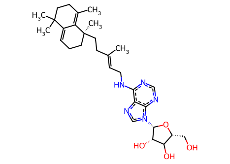 CC1=C2C(=CCC[C@]2(C)CC/C(C)=C/CNc2ncnc3c2ncn3[C@@H]2O[C@H](CO)C(O)[C@@H]2O)C(C)(C)CC1